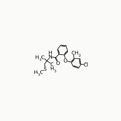 CSCC(C)(C)NC(=O)c1ccccc1Oc1ccc(Cl)cc1C